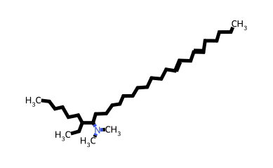 CCCCCC=CCC=CCCCCCCCCCCCC(C(CC)CCCCCC)N(C)C